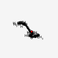 Cc1ncsc1-c1ccc(CNC(=O)[C@@H]2C[C@@H](O)CN2C(=O)[C@@H](NC(=O)COCCCOCCCOc2ccc([C@H](C)NC(=O)OC(C)(C)C)cc2)C(C)(C)C)cc1